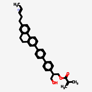 C=C(C)C(=O)OCC(CO)c1ccc(-c2ccc(-c3ccc4c(c3)CCc3cc(CC/C=C/C)ccc3-4)cc2)cc1